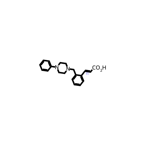 O=C(O)/C=C/c1ccccc1CN1CCN(c2ccccc2)CC1